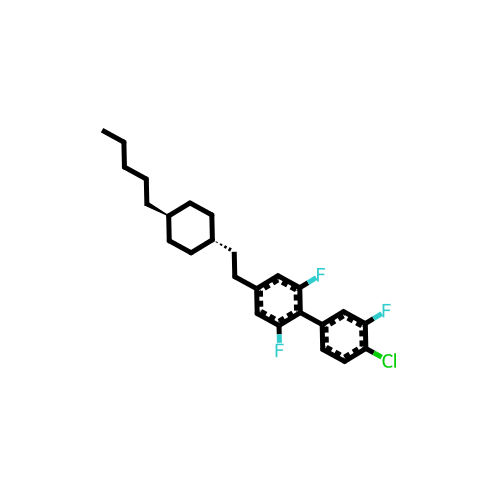 CCCCC[C@H]1CC[C@H](CCc2cc(F)c(-c3ccc(Cl)c(F)c3)c(F)c2)CC1